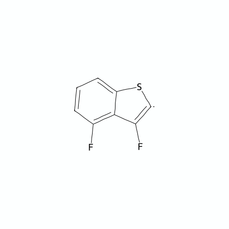 Fc1[c]sc2cccc(F)c12